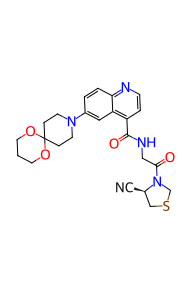 N#C[C@@H]1CSCN1C(=O)CNC(=O)c1ccnc2ccc(N3CCC4(CC3)OCCCO4)cc12